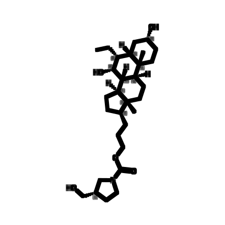 CC[C@H]1[C@@H](O)[C@@H]2[C@H](CC[C@]3(C)[C@@H](CCCOC(=O)N4CC[C@H](CO)C4)CC[C@@H]23)[C@@]2(C)CC[C@@H](O)C[C@@H]12